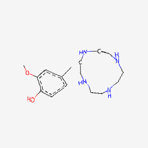 C1CNCCNCCNCCN1.COc1cc(C)ccc1O